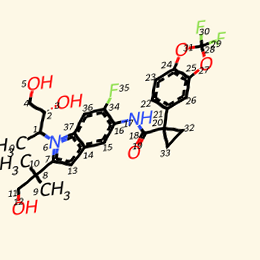 CC([C@@H](O)CO)n1c(C(C)(C)CO)cc2cc(NC(=O)C3(c4ccc5c(c4)OC(F)(F)O5)CC3)c(F)cc21